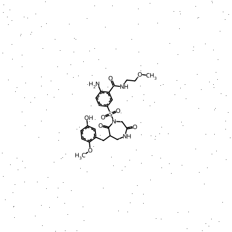 COCCNC(=O)c1cc(S(=O)(=O)N2CC(=O)NCC(Cc3cc(O)ccc3OC)C2=O)ccc1N